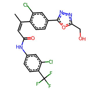 CC(=CC(=O)Nc1ccc(C(F)(F)F)c(Cl)c1)c1ccc(-c2nnc(CO)o2)cc1Cl